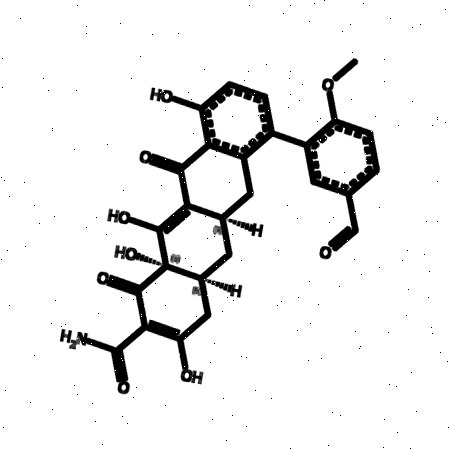 COc1ccc(C=O)cc1-c1ccc(O)c2c1C[C@H]1C[C@H]3CC(O)=C(C(N)=O)C(=O)[C@@]3(O)C(O)=C1C2=O